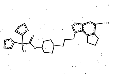 O=Cc1cc2nnn(CCCN3CCC(OC(=O)C(O)(c4cccs4)c4cccs4)CC3)c2c2c1CCC2